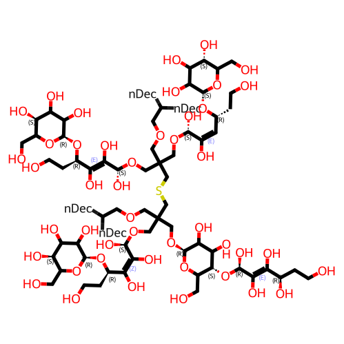 CCCCCCCCCCC(CCCCCCCCCC)COCC(CO[C@@H]1OC(CO)[C@@H](O[C@@H](O)/C(O)=C(\O)[C@H](O)CCO)C(O)C1O)(CO[C@H](O)/C(O)=C(/O)[C@@H](CCO)O[C@H]1OC(CO)[C@@H](O)C(O)C1O)CSCC(COCC(CCCCCCCCCC)CCCCCCCCCC)(CO[C@H](O)/C(O)=C\[C@@H](CCO)O[C@H]1OC(CO)[C@@H](O)C(O)C1O)CO[C@H](O)/C(O)=C(\O)[C@@H](CCO)O[C@H]1OC(CO)[C@@H](O)C(O)C1O